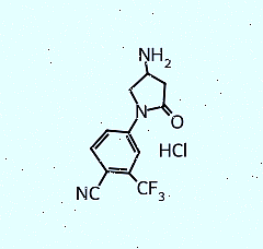 Cl.N#Cc1ccc(N2CC(N)CC2=O)cc1C(F)(F)F